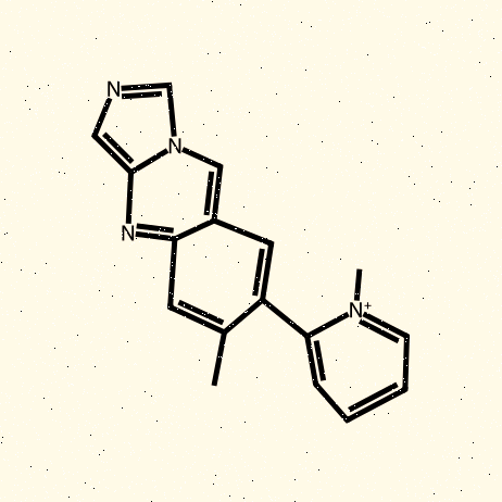 Cc1cc2nc3cncn3cc2cc1-c1cccc[n+]1C